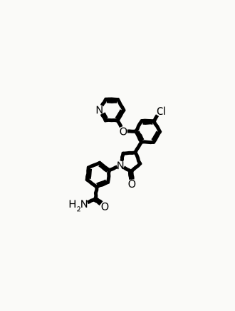 NC(=O)c1cccc(N2CC(c3ccc(Cl)cc3Oc3cccnc3)CC2=O)c1